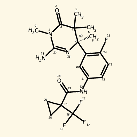 CN1C(=O)C(C)(C)[C@@](C)(c2cc(NC(=O)C3(C(F)(F)F)CC3)ccc2F)N=C1N